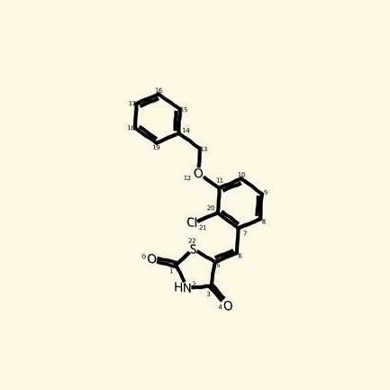 O=C1NC(=O)C(=Cc2cccc(OCc3ccccc3)c2Cl)S1